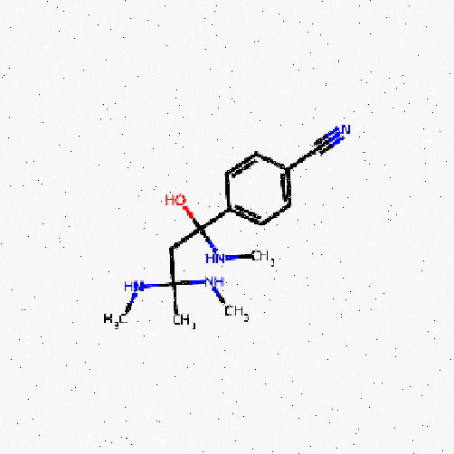 CNC(C)(CC(O)(NC)c1ccc(C#N)cc1)NC